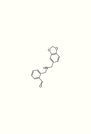 O=[C]c1ccccc1CNCc1ccc2c(c1)OCO2